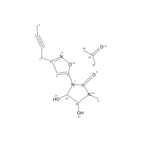 CC#CCc1cc(N2C(=O)N(C)C(O)C2O)on1.CC(C)=O